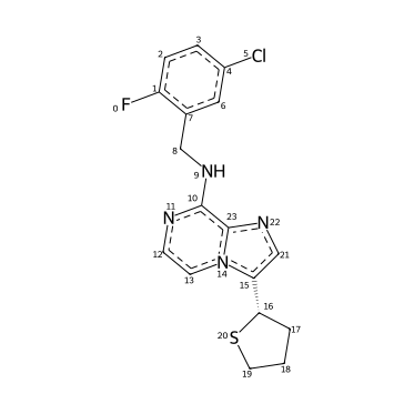 Fc1ccc(Cl)cc1CNc1nccn2c([C@@H]3CCCS3)cnc12